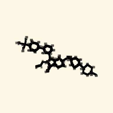 C=CCn1c(=O)c2cnc(Nc3ccc(N4CCN(C)CC4)cc3)nc2n1-c1cccc(-c2cnc(C(F)(F)F)nc2)n1